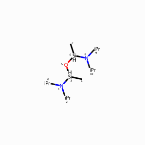 CC(C)N(C(C)C)[SiH](C)O[SiH](C)N(C(C)C)C(C)C